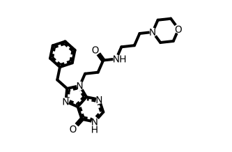 O=C(CCn1c(Cc2ccccc2)nc2c(=O)[nH]cnc21)NCCCN1CCOCC1